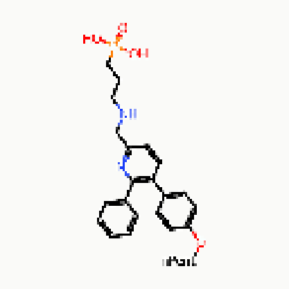 CCCCCOc1ccc(-c2ccc(CNCCCP(=O)(O)O)nc2-c2ccccc2)cc1